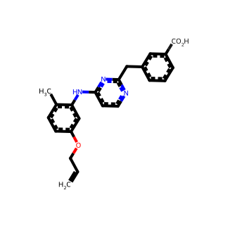 C=CCOc1ccc(C)c(Nc2ccnc(Cc3cccc(C(=O)O)c3)n2)c1